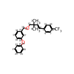 CC(C)(C=Cc1ccc(C(F)(F)F)cc1)COCc1cccc(Oc2ccccc2)c1